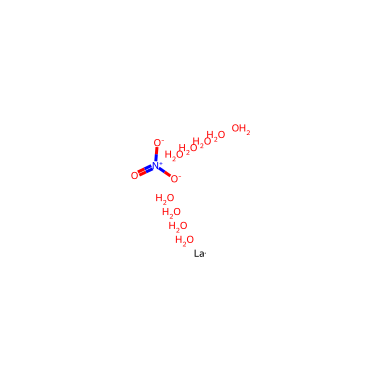 O.O.O.O.O.O.O.O.O.O=[N+]([O-])[O-].[La]